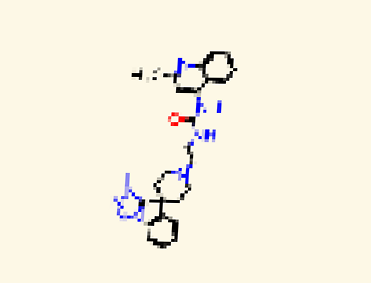 Cc1cc(NC(=O)NCCN2CCC(c3ccccc3)(c3nnn[nH]3)CC2)c2ccccc2n1